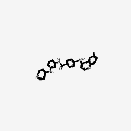 Cc1ccc2nccc(Nc3ccc(C(=O)Nc4cccc(Nc5ccncc5)c4)cc3)c2c1